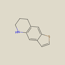 c1cc2cc3c(cc2s1)CCCN3